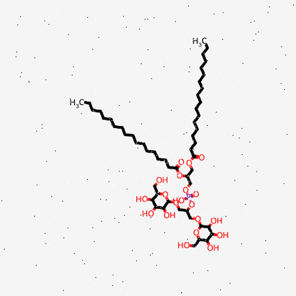 CCCCCCCCCCCCCCCCCC(=O)OCC(COP(=O)(O)OC(COC1OC(CO)C(O)C(O)C1O)COC1OC(CO)C(O)C(O)C1O)OC(=O)CCCCCCCCCCCCCCCCC